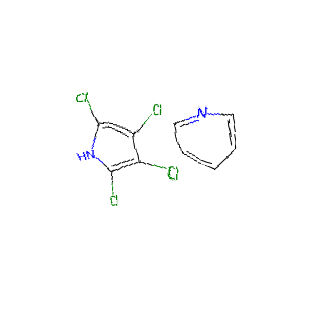 Clc1[nH]c(Cl)c(Cl)c1Cl.c1ccncc1